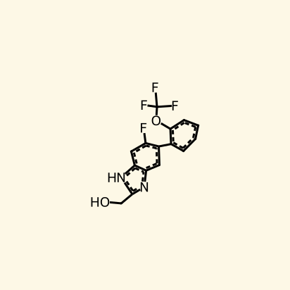 OCc1nc2cc(-c3ccccc3OC(F)(F)F)c(F)cc2[nH]1